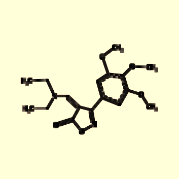 CCN(C=C1C(=O)ON=C1c1cc(OC)c(OC)c(OC)c1)CC